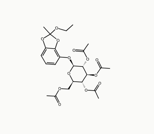 CCOC1(C)Oc2cccc(O[C@@H]3O[C@H](COC(C)=O)[C@@H](OC(C)=O)[C@H](OC(C)=O)[C@H]3OC(C)=O)c2O1